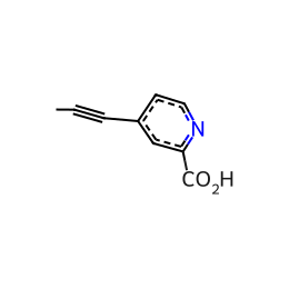 CC#Cc1ccnc(C(=O)O)c1